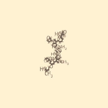 CO[C@@]1(c2cc(OCC[C@H](C)O)cc(-c3cn(C)c4cnc(NC(=O)CN(C(N)=O)c5cc6c(-c7cccc(C8(O)COC8)n7)cn(C7CCOC7)c6cn5)cc34)n2)CCOC1